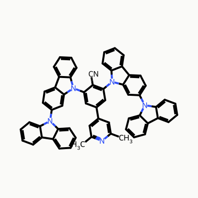 Cc1cc(-c2cc(-n3c4ccccc4c4ccc(-n5c6ccccc6c6ccccc65)cc43)c(C#N)c(-n3c4ccccc4c4ccc(-n5c6ccccc6c6ccccc65)cc43)c2)cc(C)n1